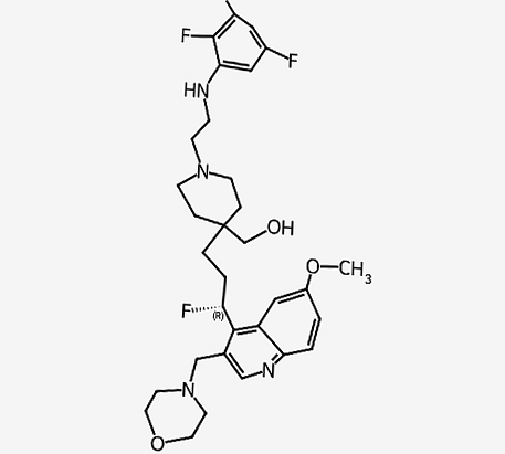 COc1ccc2ncc(CN3CCOCC3)c([C@H](F)CCC3(CO)CCN(CCNc4cc(F)cc(F)c4F)CC3)c2c1